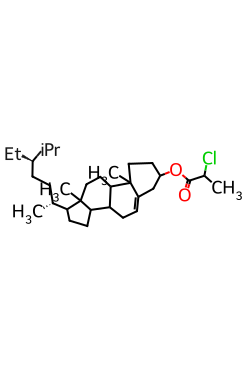 CC[C@H](CC[C@@H](C)C1CCC2C3CC=C4CC(OC(=O)C(C)Cl)CCC4(C)C3CCC21C)C(C)C